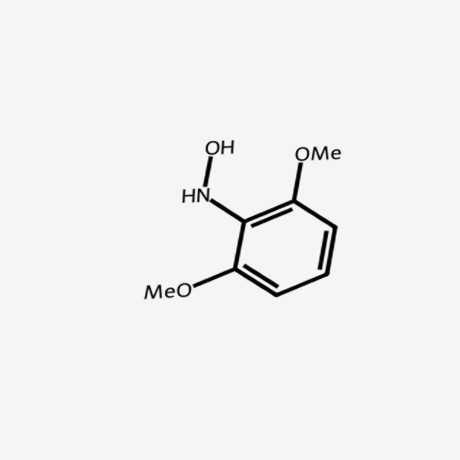 COc1cccc(OC)c1NO